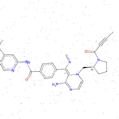 C=N/C(=C1/C(N)=NC=CN1C[C@@H]1CCCN1C(=O)C#CC)c1ccc(C(=O)Nc2cc(CC)ccn2)cc1